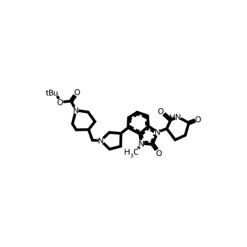 Cn1c(=O)n(C2CCC(=O)NC2=O)c2cccc(C3CCN(CC4CCN(C(=O)OC(C)(C)C)CC4)C3)c21